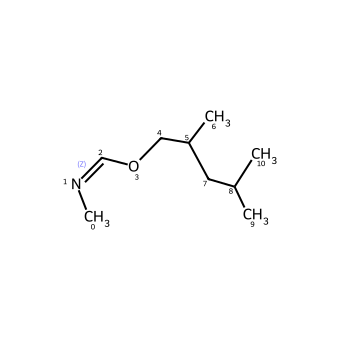 C/N=C\OCC(C)CC(C)C